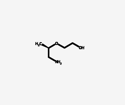 C[C@H](CN)OCCO